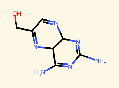 NC1=NC2N=CC(CO)=NC2C(N)=N1